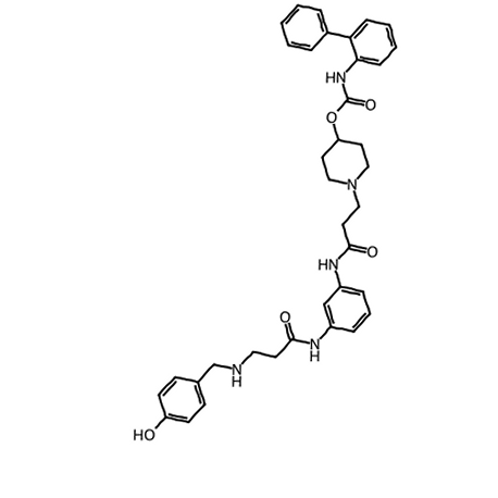 O=C(CCNCc1ccc(O)cc1)Nc1cccc(NC(=O)CCN2CCC(OC(=O)Nc3ccccc3-c3ccccc3)CC2)c1